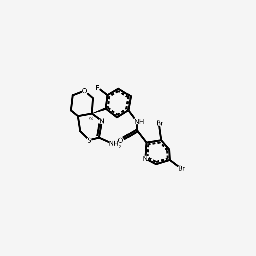 NC1=N[C@@]2(c3cc(NC(=O)c4ncc(Br)cc4Br)ccc3F)COCCC2CS1